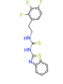 Fc1ccc(CCNC(=S)Nc2nc3ccccc3s2)c(F)c1F